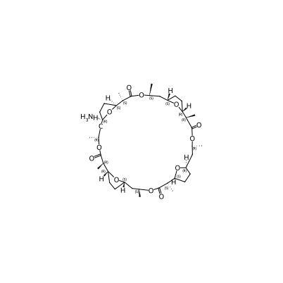 C[C@@H]1C[C@H]2CC[C@H](O2)[C@H](C)C(=O)O[C@@H](C)C[C@@H]2CC[C@@H](O2)[C@@H](C)C(=O)O[C@H](C)C[C@H]2CC[C@H](O2)[C@H](C)C(=O)O[C@@H](C)C[C@@H]2CC[C@@H](O2)[C@@H](C)C(=O)O1.N